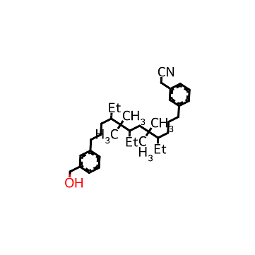 CCC(CCCc1cccc(CC#N)c1)C(C)(C)CC(CC)C(C)(C)C(CC)CCCc1cccc(CO)c1